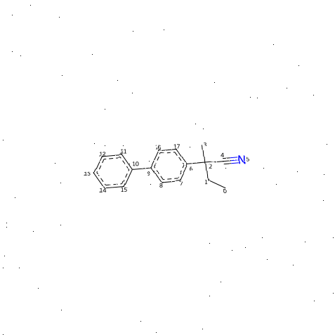 CCC(C)(C#N)c1ccc(-c2ccccc2)cc1